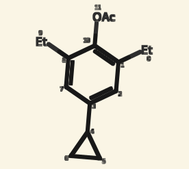 CCc1cc(C2CC2)cc(CC)c1OC(C)=O